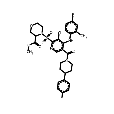 COC(=O)C1COCCN1S(=O)(=O)c1ncc(C(=O)N2CCC(c3ccc(F)cc3)CC2)c(Nc2ccc(F)cc2C)c1Cl